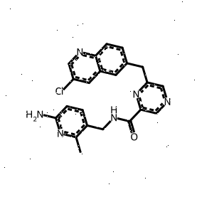 Cc1nc(N)ccc1CNC(=O)c1cncc(Cc2ccc3ncc(Cl)cc3c2)n1